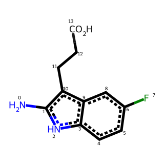 Nc1[nH]c2ccc(F)cc2c1CCC(=O)O